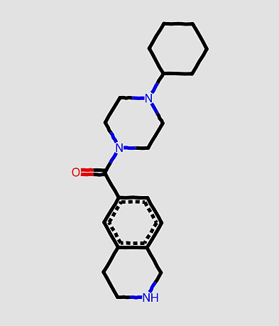 O=C(c1ccc2c(c1)CCNC2)N1CCN(C2CCCCC2)CC1